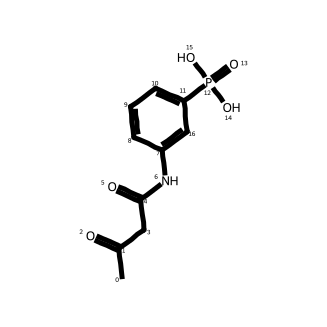 CC(=O)CC(=O)Nc1cccc(P(=O)(O)O)c1